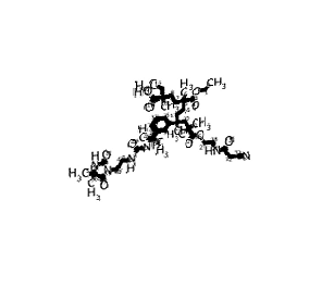 CCOC(=O)C(C)(CCC(C)(CC)C(=O)O)CCC(C)(CC(C)(C)C(=O)OCCNC(=O)CC#N)c1cccc(C(C)(C)NC(=O)NCCN2C(=O)NC(C)(C)C2=O)c1